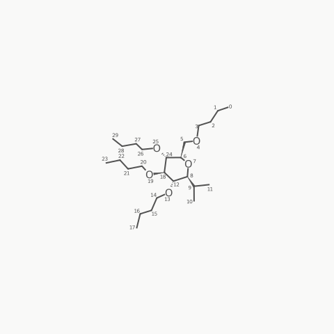 CCCCOC[C@H]1O[C@@H](C(C)C)[C@H](OCCCC)[C@@H](OCCCC)[C@@H]1OCCCC